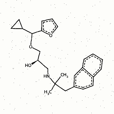 CC(C)(Cc1ccc2ccccc2c1)NC[C@@H](O)COC(c1ccco1)C1CC1